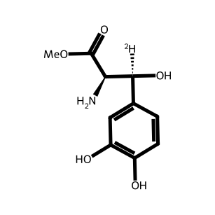 [2H][C@](O)(c1ccc(O)c(O)c1)[C@@H](N)C(=O)OC